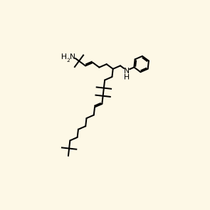 CC(C)(N)/C=C/CCC(CCC(C)(C)C(C)(C)/C=C/CCCCCCC(C)(C)C)CNc1ccccc1